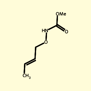 C/C=C/CONC(=O)OC